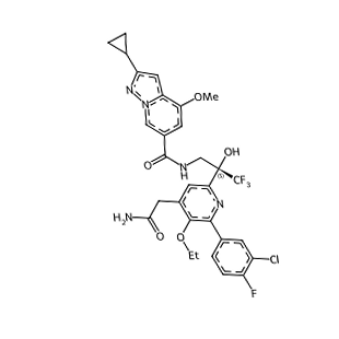 CCOc1c(CC(N)=O)cc([C@@](O)(CNC(=O)c2cc(OC)c3cc(C4CC4)nn3c2)C(F)(F)F)nc1-c1ccc(F)c(Cl)c1